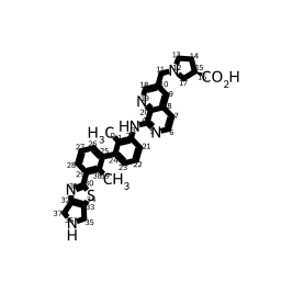 Cc1c(Nc2nccc3cc(CN4CC[C@@H](C(=O)O)C4)cnc23)cccc1-c1cccc(-c2nc3c(s2)CNC3)c1C